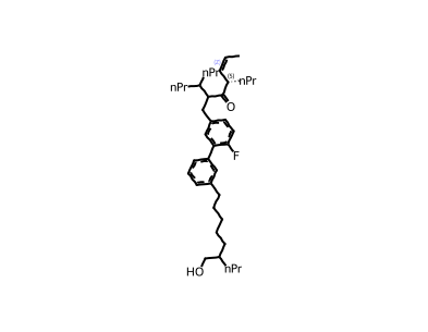 C/C=C\[C@H](CCC)C(=O)C(Cc1ccc(F)c(-c2cccc(CCCCCC(CO)CCC)c2)c1)C(CCC)CCC